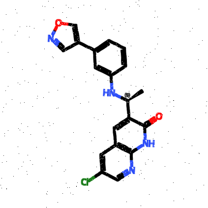 C[C@H](Nc1cccc(-c2cnoc2)c1)c1cc2cc(Cl)cnc2[nH]c1=O